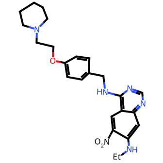 CCNc1cc2ncnc(NCc3ccc(OCCN4CCCCC4)cc3)c2cc1[N+](=O)[O-]